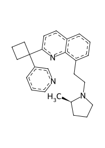 C[C@@H]1CCCN1CCc1cccc2ccc(C3(c4cccnc4)CCC3)nc12